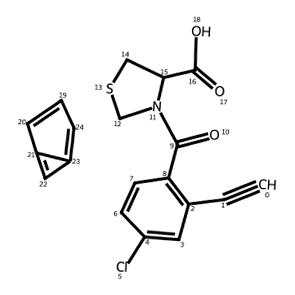 C#Cc1cc(Cl)ccc1C(=O)N1CSCC1C(=O)O.c1cc2cc-2c1